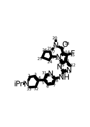 CC(C)N1CC=C(c2ccc(Nc3ncc4c(F)c(C(=O)N(C)C)n(C5CCCC5)c4n3)nc2)CC1